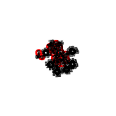 CC(=O)Oc1ccc(O[C@@H]2O[C@H](COCc3ccccc3)[C@@H](OC3O[C@H](COCc4ccccc4)[C@@H](OCc4ccccc4)[C@H](OCc4ccccc4)[C@H]3OCc3ccccc3)[C@H](OC(C)=O)[C@H]2OC(C)=O)cc1